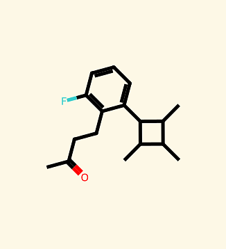 CC(=O)CCc1c(F)cccc1C1C(C)C(C)C1C